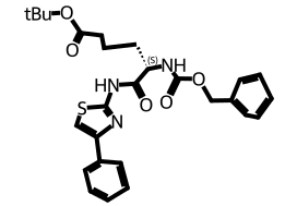 CC(C)(C)OC(=O)CCC[C@H](NC(=O)OCc1ccccc1)C(=O)Nc1nc(-c2ccccc2)cs1